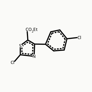 CCOC(=O)c1sc(Cl)nc1-c1ccc(Cl)cc1